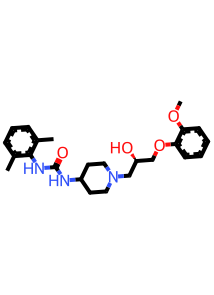 COc1ccccc1OC[C@H](O)CN1CCC(NC(=O)Nc2c(C)cccc2C)CC1